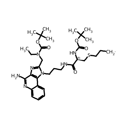 [CH2][CH]CSC[C@H](NC(=O)OC(C)(C)C)C(=O)NCCCn1c(CN(CC)C(=O)OC(C)(C)C)nc2c(N)nc3ccccc3c21